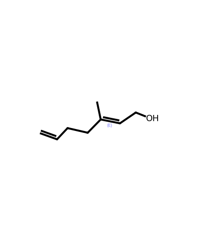 C=CCC/C(C)=C/CO